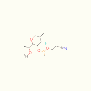 [2H]O[C@@H](C)[C@H]1OC[C@@H](C)[C@H](F)[C@@H]1OP(C)OCCC#N